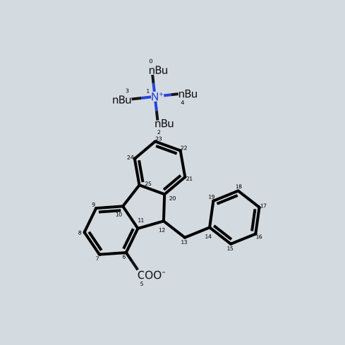 CCCC[N+](CCCC)(CCCC)CCCC.O=C([O-])c1cccc2c1C(Cc1ccccc1)c1ccccc1-2